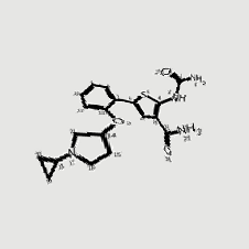 NC(=O)Nc1sc(-c2ccccc2OC2CCN(C3CC3)C2)cc1C(N)=O